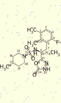 Cc1ccc(F)c([C@H](C)[C@H](NS(=O)(=O)N2CCC(C)CC2)c2n[nH]c(=O)o2)c1C